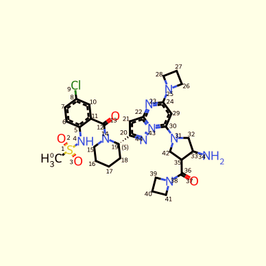 CS(=O)(=O)Nc1ccc(Cl)cc1C(=O)N1CCCC[C@H]1c1cc2nc(N3CCC3)cc(N3CC(N)C(C(=O)N4CCC4)C3)n2n1